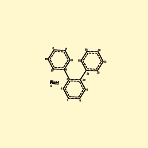 [NaH].c1ccc(-c2ccccc2-c2ccccc2)cc1